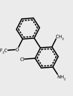 Cc1cc(N)cc(Cl)c1-c1ccccc1OC(F)(F)F